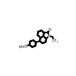 COc1ccc(-c2ccc3c4c(cccc24)C(=O)N3CC(F)(F)F)cc1